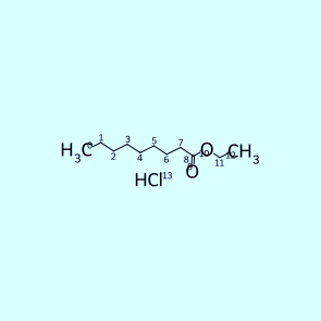 CCCCCCCCC(=O)OCC.Cl